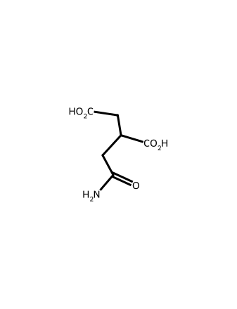 NC(=O)CC(CC(=O)O)C(=O)O